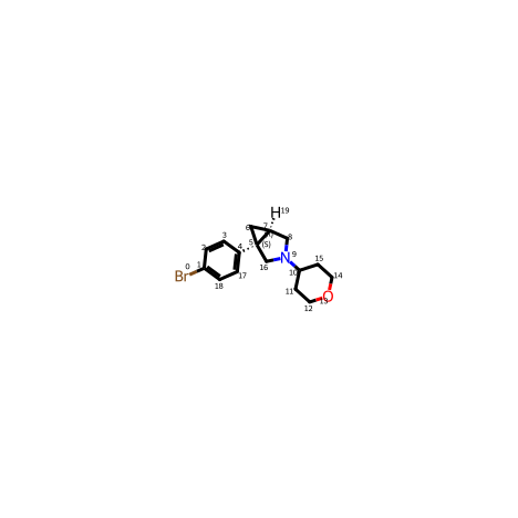 Brc1ccc([C@]23C[C@H]2CN(C2CCOCC2)C3)cc1